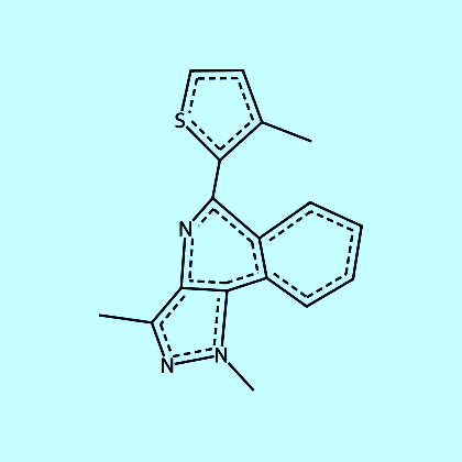 Cc1ccsc1-c1nc2c(C)nn(C)c2c2ccccc12